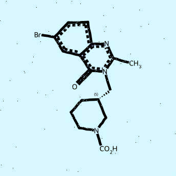 Cc1nc2ccc(Br)cc2c(=O)n1C[C@H]1CCCN(C(=O)O)C1